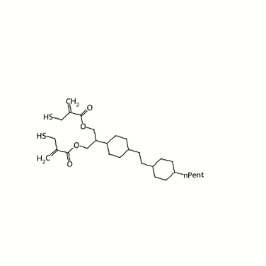 C=C(CS)C(=O)OCC(COC(=O)C(=C)CS)C1CCC(CCC2CCC(CCCCC)CC2)CC1